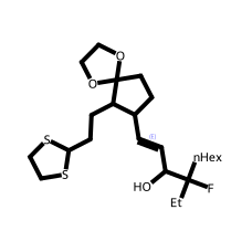 CCCCCCC(F)(CC)C(O)/C=C/C1CCC2(OCCO2)C1CCC1SCCS1